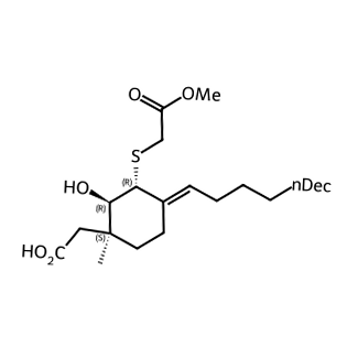 CCCCCCCCCCCCCC=C1CC[C@@](C)(CC(=O)O)[C@@H](O)[C@@H]1SCC(=O)OC